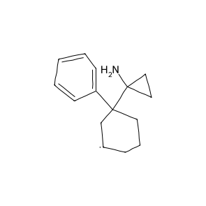 NC1(C2(c3ccccc3)C[CH]CCC2)CC1